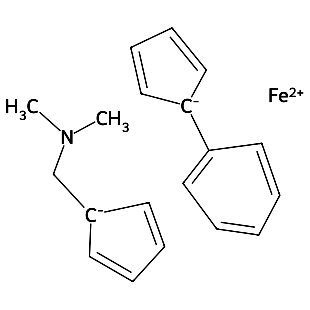 CN(C)C[c-]1cccc1.[Fe+2].c1ccc(-[c-]2cccc2)cc1